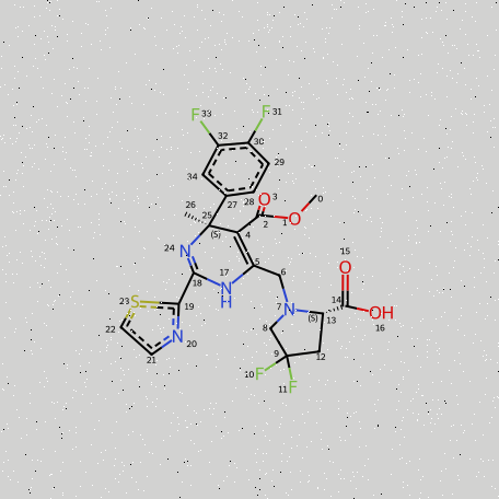 COC(=O)C1=C(CN2CC(F)(F)C[C@H]2C(=O)O)NC(c2nccs2)=N[C@@]1(C)c1ccc(F)c(F)c1